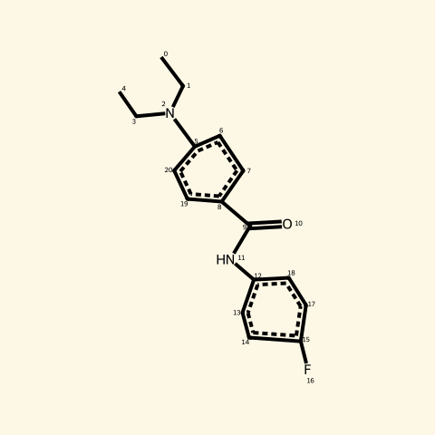 CCN(CC)c1ccc(C(=O)Nc2ccc(F)cc2)cc1